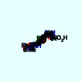 COC(=O)NC(C(=O)N1CCC[C@H]1c1ncc(-c2ccc3c(c2)c(F)c2n3COc3cc(-c4cnc([C@@H]5CCCN5C(=O)C(NC(=O)O)C(C)C)[nH]4)ccc3-2)[nH]1)C(C)C